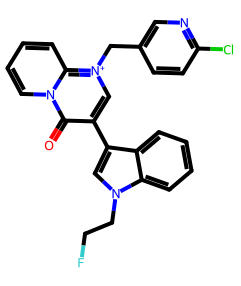 O=c1c(-c2cn(CCF)c3ccccc23)c[n+](Cc2ccc(Cl)nc2)c2ccccn12